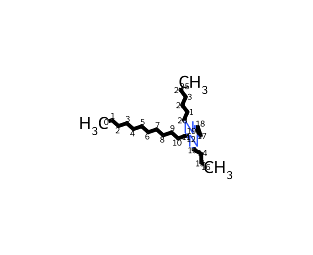 CCCCCCCCCCCC1N(CCCC)C=CN1CCCCCC